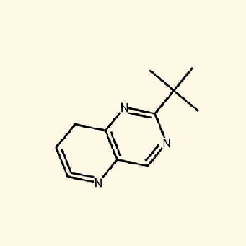 CC(C)(C)c1ncc2c(n1)CC=C=N2